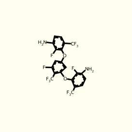 Nc1ccc(C(F)(F)F)c(Oc2cc(F)c(C(F)(F)F)c(Oc3c(C(F)(F)F)ccc(N)c3F)c2)c1F